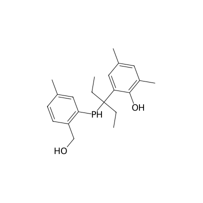 CCC(CC)(Pc1cc(C)ccc1CO)c1cc(C)cc(C)c1O